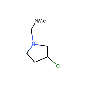 CNCN1CCC(Cl)C1